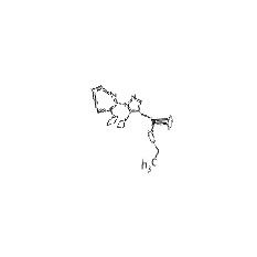 CCOC(=O)c1cnn(-c2ncccc2Cl)c1Cl